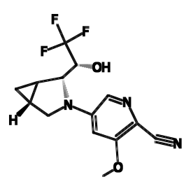 COc1cc(N2C[C@@H]3CC3[C@@H]2[C@@H](O)C(F)(F)F)cnc1C#N